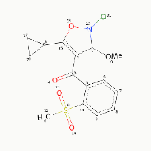 COC1C(C(=O)c2ccccc2S(C)(=O)=O)=C(C2CC2)ON1Cl